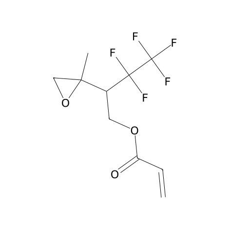 C=CC(=O)OCC(C1(C)CO1)C(F)(F)C(F)(F)F